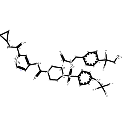 C=C(/C=C(\C=C/N)NC(=O)N1CCN(S(=O)(=O)c2ccc(OC(F)(F)F)cc2)[C@@H](C(=O)NCc2ccc(C(F)(F)CC)cc2)C1)C(=O)NC1CC1